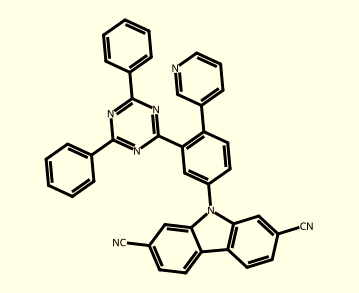 N#Cc1ccc2c3ccc(C#N)cc3n(-c3ccc(-c4cccnc4)c(-c4nc(-c5ccccc5)nc(-c5ccccc5)n4)c3)c2c1